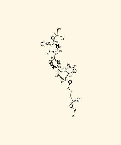 CCOC(=O)CCCOc1ccc(-c2noc(-c3cnc(OC(C)C)c(Cl)c3)n2)c2ccoc12